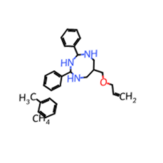 C.C=CCOCC1CNC(c2ccccc2)NC(c2ccccc2)NC1.Cc1ccccc1